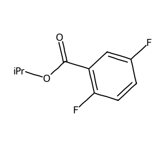 CC(C)OC(=O)c1cc(F)ccc1F